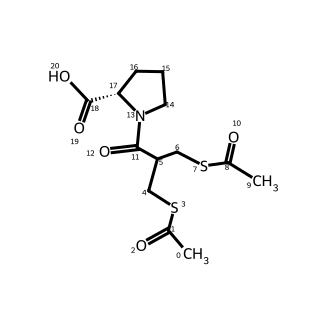 CC(=O)SCC(CSC(C)=O)C(=O)N1CCC[C@H]1C(=O)O